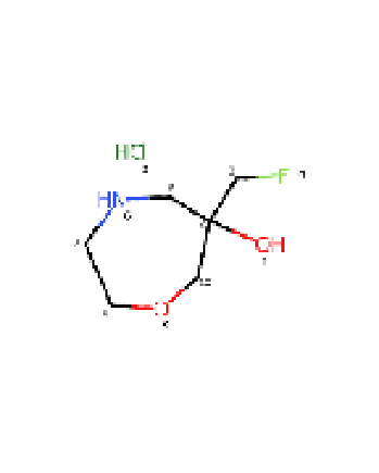 Cl.OC1(CF)CNCCOC1